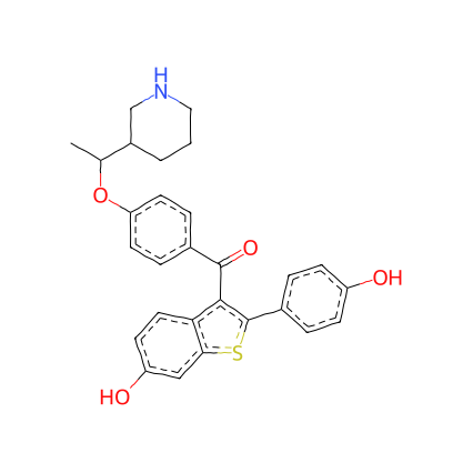 CC(Oc1ccc(C(=O)c2c(-c3ccc(O)cc3)sc3cc(O)ccc23)cc1)C1CCCNC1